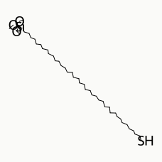 CO[Si](CCCCCCCCCCCCCCCCCCCCCCCCCCCCCCCCCCCCCCCS)(OC)OC